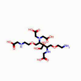 NCCOCC(NCC(=O)O)C(O)(CO)C(COCCNCC(=O)O)N(CC(=O)O)CC(=O)O